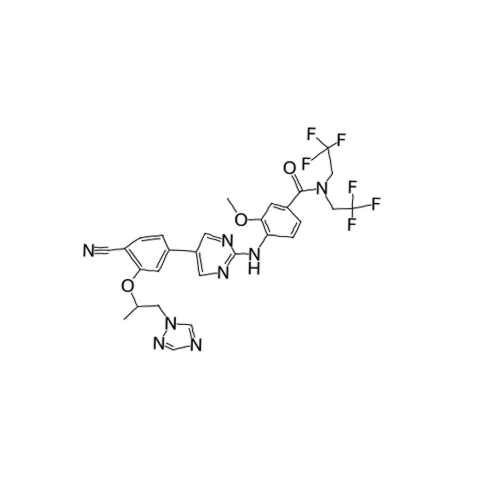 COc1cc(C(=O)N(CC(F)(F)F)CC(F)(F)F)ccc1Nc1ncc(-c2ccc(C#N)c(OC(C)Cn3cncn3)c2)cn1